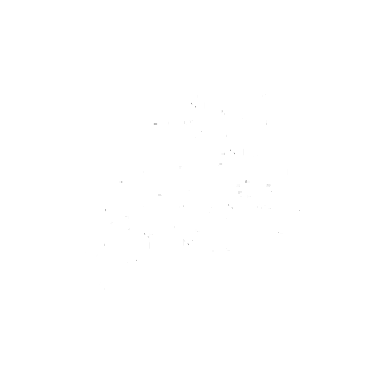 CC(C)(C)[C@H](NC(=O)N[C@H](C(=O)c1ccccc1)C1CCC1)C(=O)N1C[C@H]2[C@@H]([C@H]1C(=O)NC(CC1CC1)C(=O)C(N)=O)C2(C)C